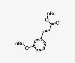 CCCCOC(=O)C=Cc1cccc(OCCCC)c1